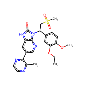 CCOc1cc([C@H](CS(C)(=O)=O)n2c(=O)[nH]c3cc(-c4nccnc4C)cnc32)ccc1OC